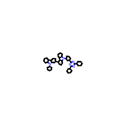 c1ccc(-c2nc(-c3ccccc3)nc(-c3cccc(-n4c5ccccc5c5c(-c6ccc7c8ccccc8n(-c8ccccc8)c7c6)cccc54)c3)n2)cc1